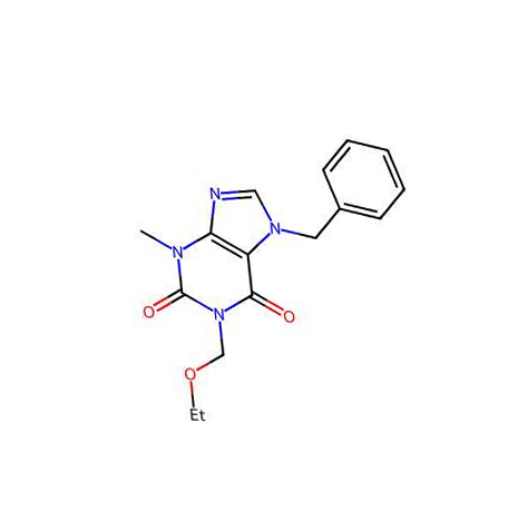 CCOCn1c(=O)c2c(ncn2Cc2ccccc2)n(C)c1=O